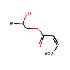 CCC(O)COC(=O)/C=C\C(=O)O